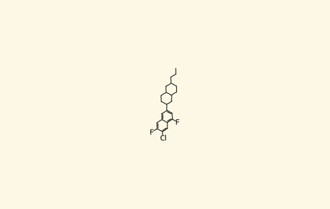 CCCC1CCC2CC(c3cc(F)c4cc(Cl)c(F)cc4c3)CCC2C1